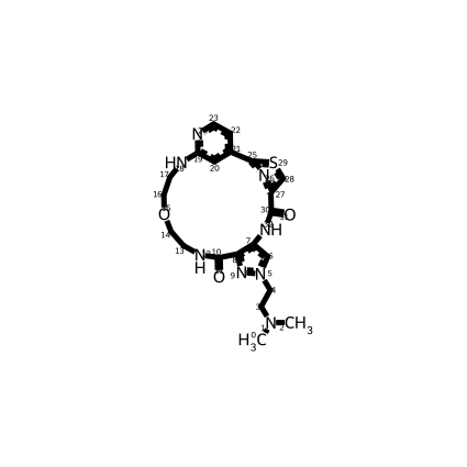 CN(C)CCn1cc2c(n1)C(=O)NCCOCCNc1cc(ccn1)-c1nc(cs1)C(=O)N2